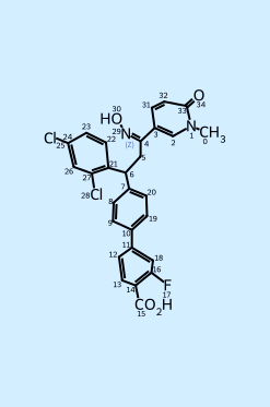 Cn1cc(/C(CC(c2ccc(-c3ccc(C(=O)O)c(F)c3)cc2)c2ccc(Cl)cc2Cl)=N\O)ccc1=O